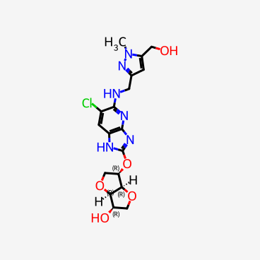 Cn1nc(CNc2nc3nc(O[C@@H]4CO[C@H]5[C@@H]4OC[C@H]5O)[nH]c3cc2Cl)cc1CO